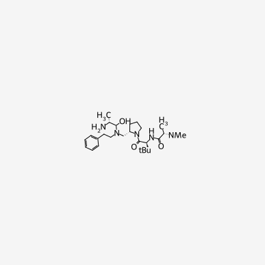 CN[C@@H](C)C(=O)N[C@H](C(=O)N1CCC[C@H]1CN(CCc1ccccc1)C(O)[C@@H](C)N)C(C)(C)C